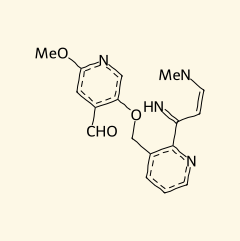 CN/C=C\C(=N)c1ncccc1COc1cnc(OC)cc1C=O